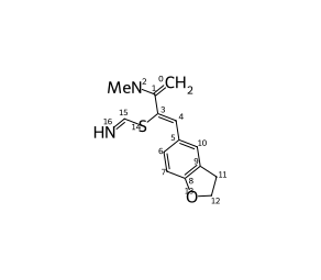 C=C(NC)/C(=C/c1ccc2c(c1)CCO2)SC=N